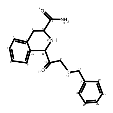 NC(=O)C1Cc2c[c]ccc2C(C(=O)COCc2ccccc2)N1